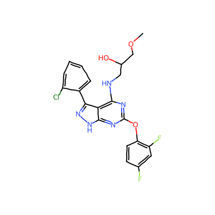 COCC(O)CNc1nc(Oc2ccc(F)cc2F)nc2[nH]nc(-c3ccccc3Cl)c12